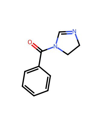 O=C(c1ccccc1)N1C=NCC1